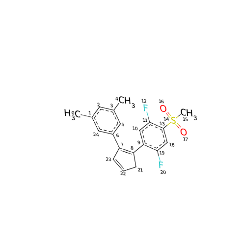 Cc1cc(C)cc(C2=C(c3cc(F)c(S(C)(=O)=O)cc3F)CC=C2)c1